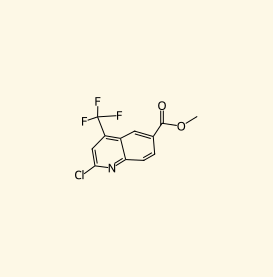 COC(=O)c1ccc2nc(Cl)cc(C(F)(F)F)c2c1